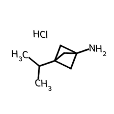 CC(C)C12CC(N)(C1)C2.Cl